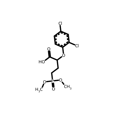 COP(=O)(CCC(Oc1ccc(Cl)cc1Cl)C(=O)O)OC